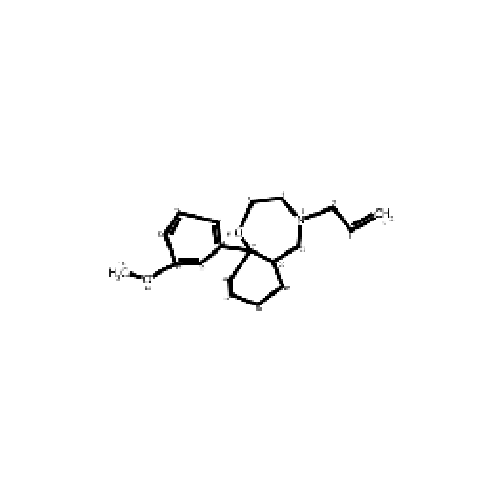 C=CCN1CCOC2(c3cccc(OC)c3)CCCCC2C1